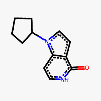 O=c1[nH]ccc2c1ccn2C1CCCC1